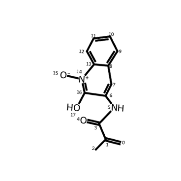 C=C(C)C(=O)Nc1cc2ccccc2[n+]([O-])c1O